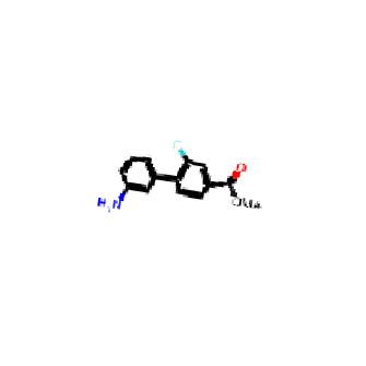 COC(=O)c1ccc(-c2cccc(N)c2)c(F)c1